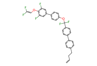 C=CCCc1ccc(-c2ccc(C(F)(F)Oc3ccc(-c4cc(F)c(OC=C(F)F)c(F)c4)cc3)cc2)cc1